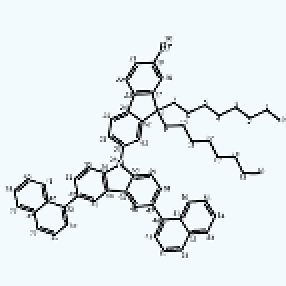 CCCCCCCCC1(CCCCCCCC)c2cc(Br)ccc2-c2ccc(-n3c4ccc(-c5cccc6ccccc56)cc4c4cc(-c5cccc6ccccc56)ccc43)cc21